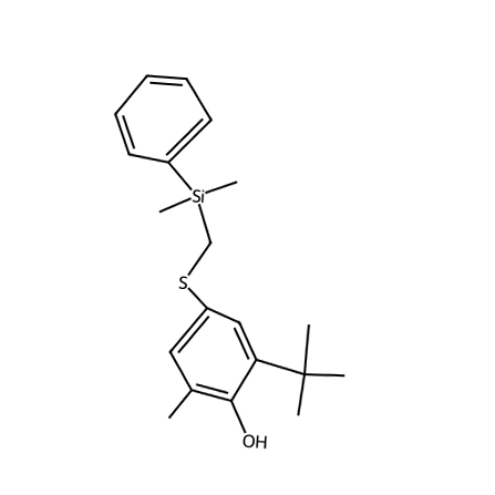 Cc1cc(SC[Si](C)(C)c2ccccc2)cc(C(C)(C)C)c1O